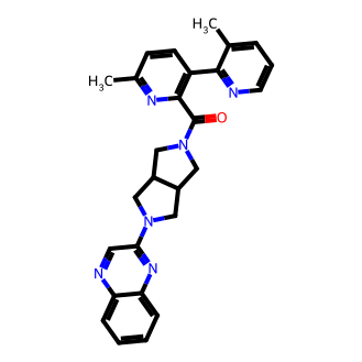 Cc1ccc(-c2ncccc2C)c(C(=O)N2CC3CN(c4cnc5ccccc5n4)CC3C2)n1